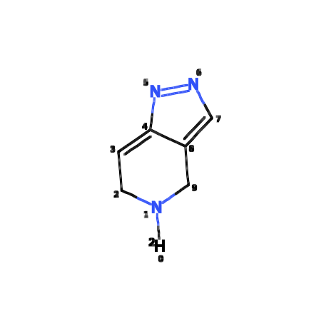 [2H]N1CC=C2N=NC=C2C1